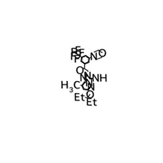 CCC(CC)Oc1cc(C)c2nn(CC(=O)c3cc(N4CCOCC4)cc(S(F)(F)(F)(F)F)c3)c(=N)n2n1